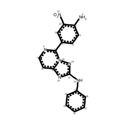 Nc1ccc(-c2nccc3nc(Nc4ccccc4)nn23)cc1[N+](=O)[O-]